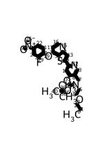 CCCOCCN(Cc1ccc(-c2cc3nccc(Oc4ccc([N+](=O)[O-])cc4F)c3s2)nc1)C(=O)OC(C)(C)C